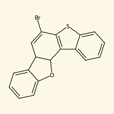 BrC1=CC2c3ccccc3OC2c2c1sc1ccccc21